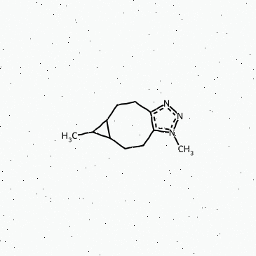 CC1C2CCc3nnn(C)c3CCC12